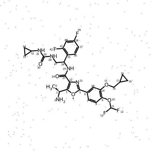 C[C@H](N)c1oc(-c2ccc(OC(F)F)c(OCC3CC3)c2)nc1C(=O)NC(CNC(=O)NC1CC1)c1ccc(F)cc1F